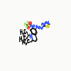 CCC(CC)N1c2cc(NS(=O)(=O)C(F)(F)F)c(N=Nc3nncs3)cc2CCC1CC